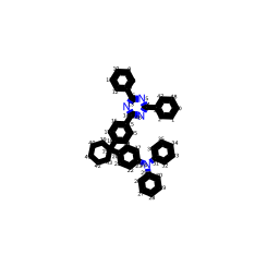 c1ccc(-c2nc(-c3ccccc3)nc(-c3ccc(C4(c5ccc(N(c6ccccc6)c6ccccc6)cc5)CCCCC4)cc3)n2)cc1